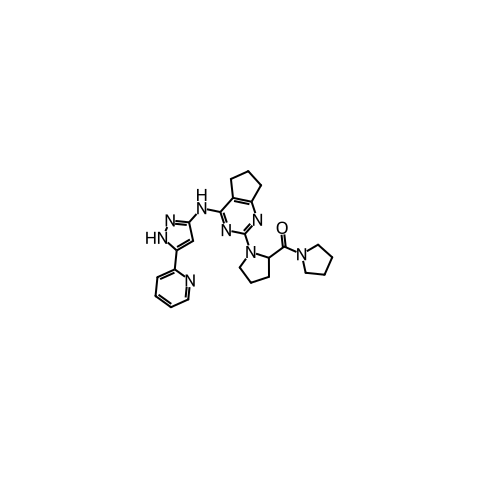 O=C(C1CCCN1c1nc2c(c(Nc3cc(-c4ccccn4)[nH]n3)n1)CCC2)N1CCCC1